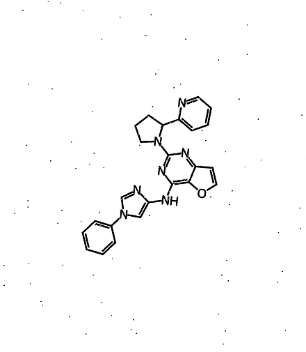 c1ccc(-n2cnc(Nc3nc(N4CCCC4c4ccccn4)nc4ccoc34)c2)cc1